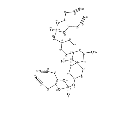 CC1CC2(CCC(OP(=O)(OCCC#N)OCCC#N)CC2)N(O)C2(CCC(OP(=O)(OCCC#N)OCCC#N)CC2)C1